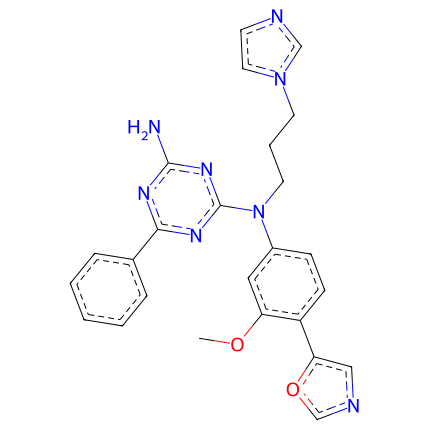 COc1cc(N(CCCn2ccnc2)c2nc(N)nc(-c3ccccc3)n2)ccc1-c1cnco1